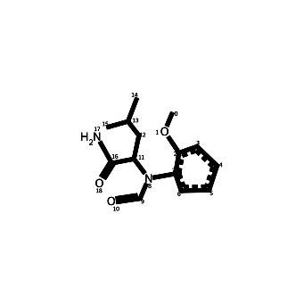 COc1ccccc1N(C=O)C(CC(C)C)C(N)=O